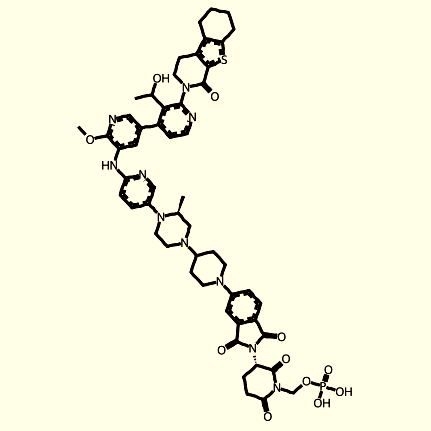 COc1ncc(-c2ccnc(N3CCc4c(sc5c4CCCC5)C3=O)c2C(C)O)cc1Nc1ccc(N2CCN(C3CCN(c4ccc5c(c4)C(=O)N([C@H]4CCC(=O)N(COP(=O)(O)O)C4=O)C5=O)CC3)C[C@@H]2C)cn1